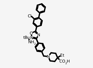 CC(C)(C)N.CCC1(C(=O)O)CCN(Cc2ccc(-c3noc(-c4ccc(-c5ccccc5)c(Cl)c4)n3)cc2)CC1